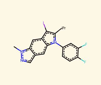 CC(C)c1c(I)c2cc3c(cnn3C)cc2n1-c1ccc(F)c(F)c1